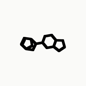 C1=CC2CC1CC2C1CCC2CCCC2C1